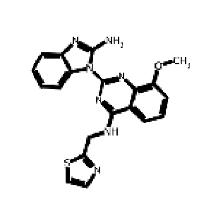 COc1cccc2c(NCc3nccs3)nc(-n3c(N)nc4ccccc43)nc12